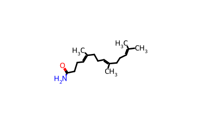 CC(C)=CCCC(C)=CCCC(C)=CCCC(N)=O